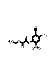 CCOC(=O)C(=O)Oc1cc(C#N)c(C)cc1[N+](=O)[O-]